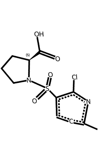 Cc1ccc(S(=O)(=O)N2CCC[C@H]2C(=O)O)c(Cl)n1